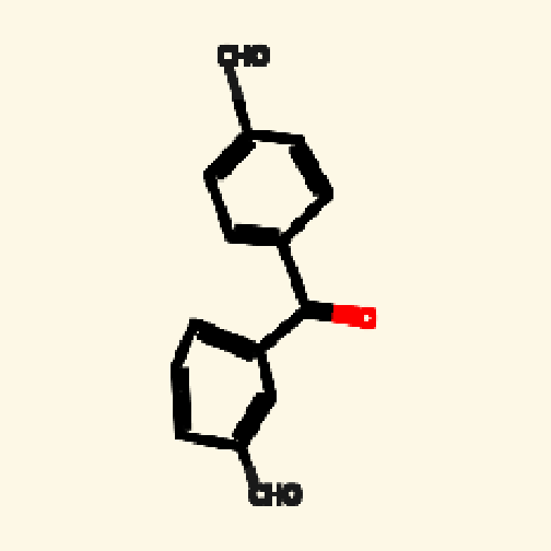 O=Cc1ccc(C(=O)c2cccc(C=O)c2)cc1